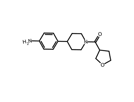 Nc1ccc(C2CCN(C(=O)C3CCOC3)CC2)cc1